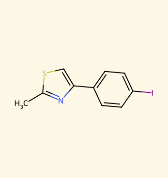 Cc1nc(-c2ccc(I)cc2)cs1